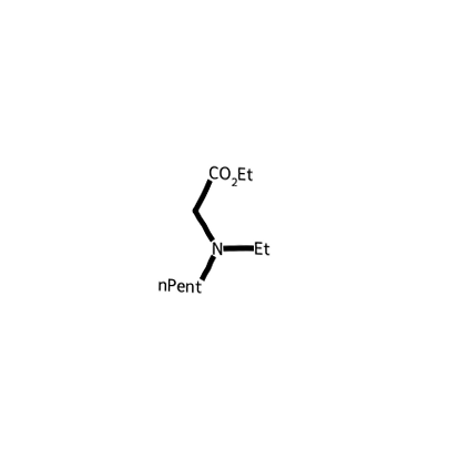 CCCCCN(CC)CC(=O)OCC